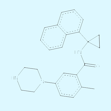 Cc1ccc(N2C[C@@H](C)N[C@@H](C)C2)cc1C(=O)NC1(c2cccc3ccccc23)CC1